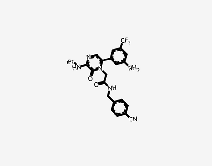 CC(C)Nc1ncc(-c2cc(N)cc(C(F)(F)F)c2)n(CC(=O)NCc2ccc(C#N)cc2)c1=O